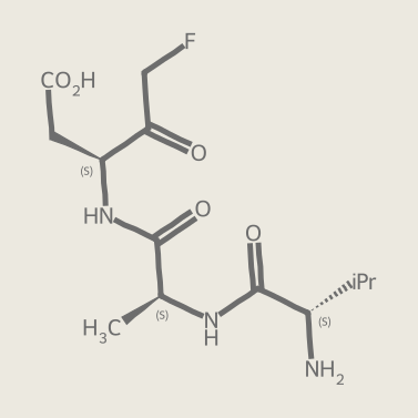 CC(C)[C@H](N)C(=O)N[C@@H](C)C(=O)N[C@@H](CC(=O)O)C(=O)CF